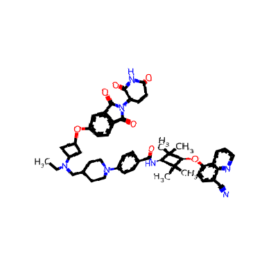 CCN(CC1CCN(c2ccc(C(=O)N[C@H]3C(C)(C)[C@H](Oc4ccc(C#N)c5ncccc45)C3(C)C)cc2)CC1)C1CC(Oc2ccc3c(c2)C(=O)N(C2CCC(=O)NC2=O)C3=O)C1